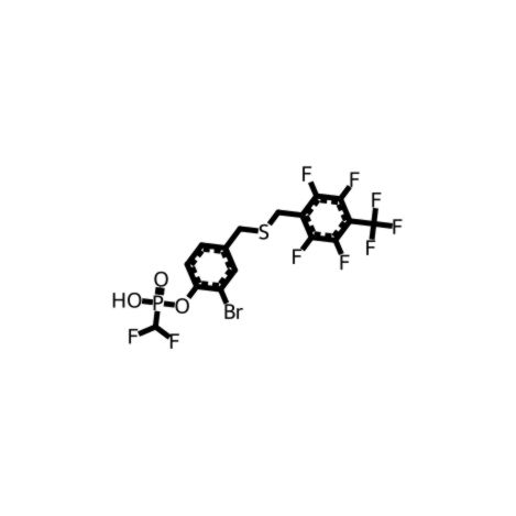 O=P(O)(Oc1ccc(CSCc2c(F)c(F)c(C(F)(F)F)c(F)c2F)cc1Br)C(F)F